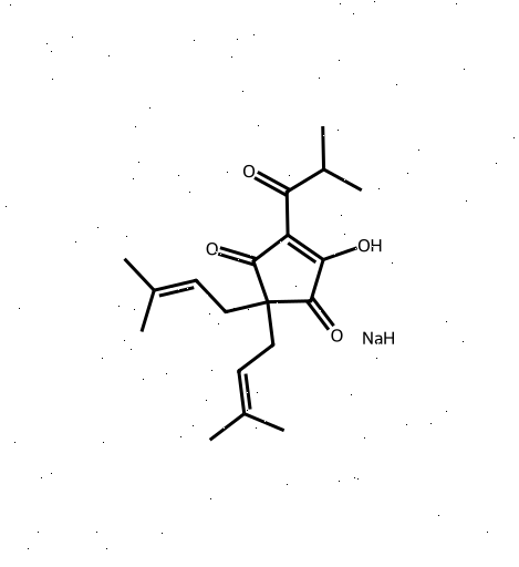 CC(C)=CCC1(CC=C(C)C)C(=O)C(O)=C(C(=O)C(C)C)C1=O.[NaH]